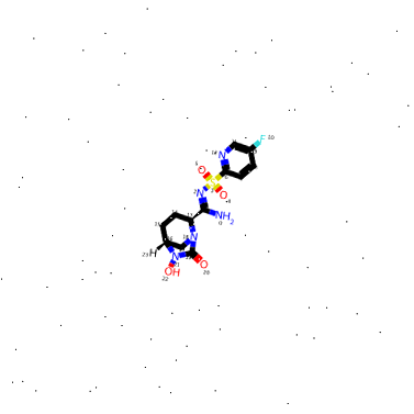 NC(=NS(=O)(=O)c1ccc(F)cn1)[C@@H]1CC[C@@H]2CN1C(=O)N2O